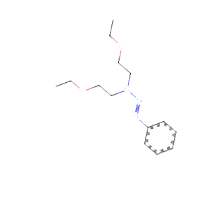 CCOCCN(CCOCC)/N=N/c1ccccc1